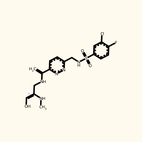 C=C(NC/C(=C/O)NC)c1ccc(CNS(=O)(=O)c2ccc(F)c(Cl)c2)nn1